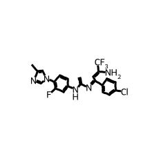 C=C(/N=C(\C=C(/N)C(F)(F)F)c1ccc(Cl)cc1)Nc1ccc(-n2cnc(C)c2)c(F)c1